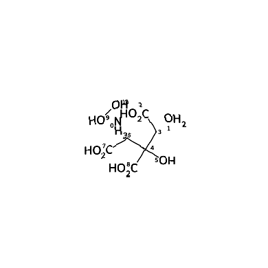 N.O.O=C(O)CC(O)(CC(=O)O)C(=O)O.OO